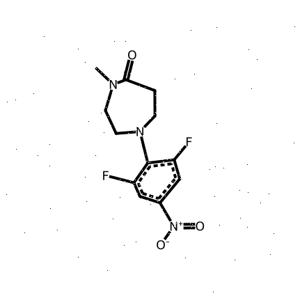 CN1CCN(c2c(F)cc([N+](=O)[O-])cc2F)CCC1=O